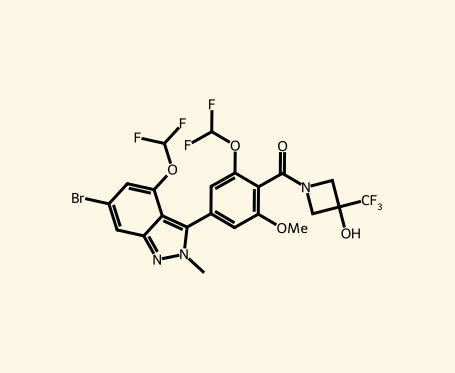 COc1cc(-c2c3c(OC(F)F)cc(Br)cc3nn2C)cc(OC(F)F)c1C(=O)N1CC(O)(C(F)(F)F)C1